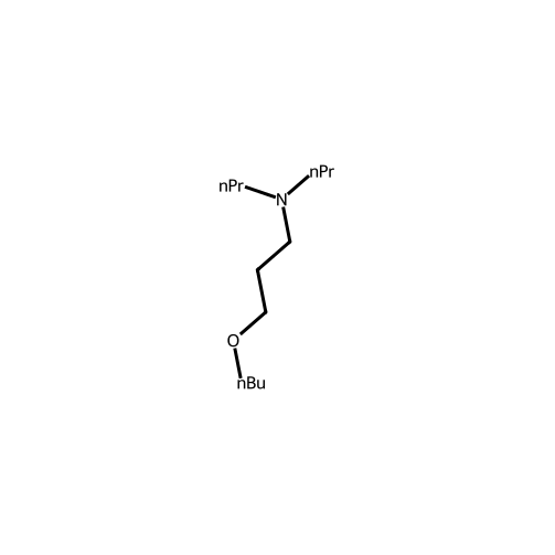 CCCCOCCCN(CCC)CCC